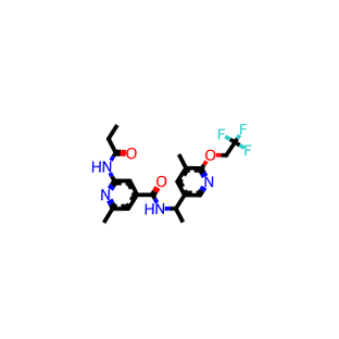 CCC(=O)Nc1cc(C(=O)NC(C)c2cnc(OCC(F)(F)F)c(C)c2)cc(C)n1